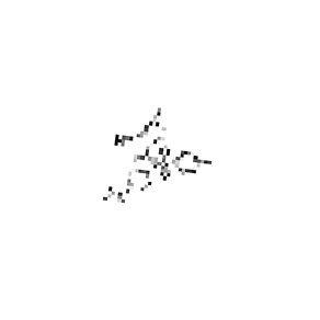 Cc1ccc(S(=O)(=O)n2c(C(=O)/C(C#N)=C\N(C)C)cc3cc(OC(C)C)ccc32)cc1